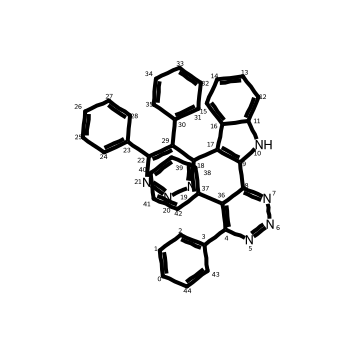 c1ccc(-c2nnnc(-c3[nH]c4ccccc4c3-c3nnnc(-c4ccccc4)c3-c3ccccc3)c2-c2ccccc2)cc1